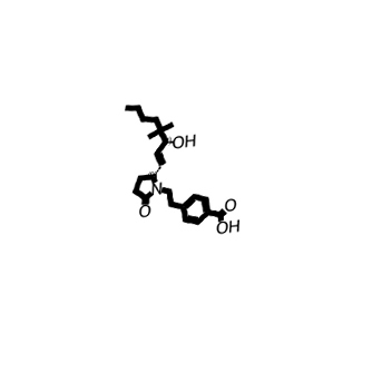 CCCCC(C)(C)[C@H](O)C=C[C@H]1CCC(=O)N1CCc1ccc(C(=O)O)cc1